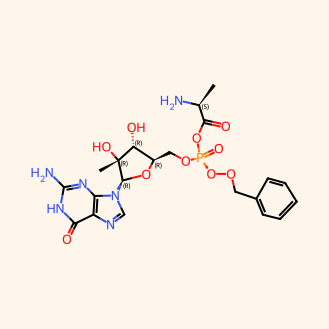 C[C@H](N)C(=O)OP(=O)(OC[C@H]1O[C@@H](n2cnc3c(=O)[nH]c(N)nc32)[C@](C)(O)[C@@H]1O)OOCc1ccccc1